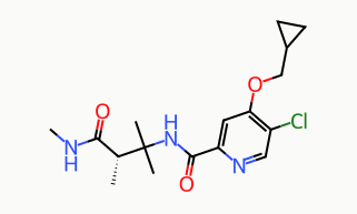 CNC(=O)[C@@H](C)C(C)(C)NC(=O)c1cc(OCC2CC2)c(Cl)cn1